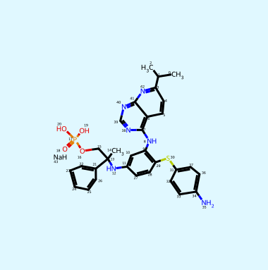 CC(C)c1ccc2c(Nc3cc(NC(C)(COP(=O)(O)O)c4ccccc4)ccc3Sc3ccc(N)cc3)ncnc2n1.[NaH]